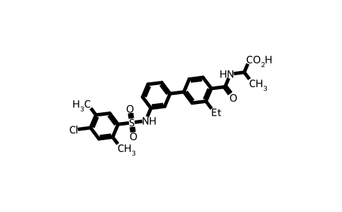 CCc1cc(-c2cccc(NS(=O)(=O)c3cc(C)c(Cl)cc3C)c2)ccc1C(=O)NC(C)C(=O)O